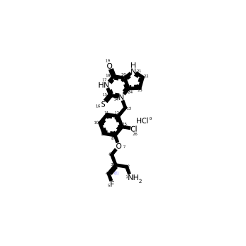 Cl.NC/C(=C\F)COc1cccc(Cn2c(=S)[nH]c(=O)c3[nH]ccc32)c1Cl